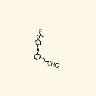 O=CCCc1cccc(C#Cc2ccc(OC(F)F)cc2)c1